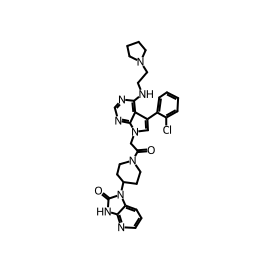 O=C(Cn1cc(-c2ccccc2Cl)c2c(NCCN3CCCC3)ncnc21)N1CCC(n2c(=O)[nH]c3ncccc32)CC1